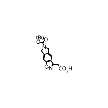 CC(C)(C)OC(=O)N1Cc2cc3onc(CC(=O)O)c3cc2C1